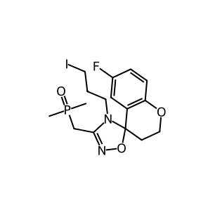 CP(C)(=O)CC1=NOC2(CCOc3ccc(F)cc32)N1CCCI